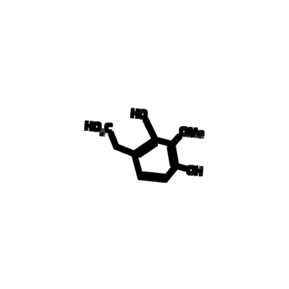 COc1c(O)ccc(CC(=O)O)c1O